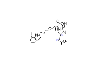 C=C(/C=C\C=C(/C)C1(C(=O)NC(CCOCCCCc2ccc3c(n2)NCCC3)C(=O)O)CC1)OC